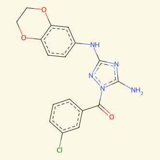 Nc1nc(Nc2ccc3c(c2)OCCO3)nn1C(=O)c1cccc(Cl)c1